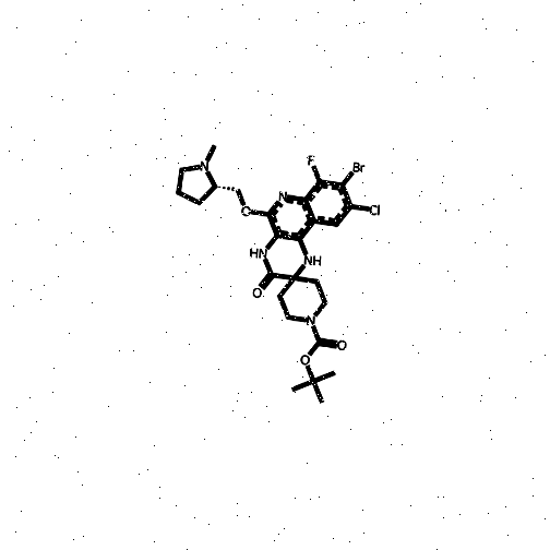 CN1CCC[C@H]1COc1nc2c(F)c(Br)c(Cl)cc2c2c1NC(=O)C1(CCN(C(=O)OC(C)(C)C)CC1)N2